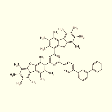 Bc1c(B)c(B)c2c(oc3c(B)c(-c4nc(-c5ccc(-c6cccc(-c7ccccc7)c6)cc5)nc(-c5c(B)c(B)c(B)c6c5oc5c(B)c(B)c(B)c(B)c56)n4)c(B)c(B)c32)c1B